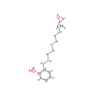 C1CO1.CCCCCCCCCc1ccccc1O